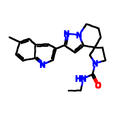 CCNC(=O)N1CCC2(CCCn3nc(-c4cnc5ccc(C)cc5c4)cc32)C1